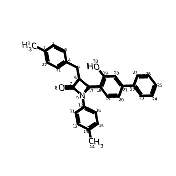 Cc1ccc(CC2C(=O)N(c3ccc(C)cc3)C2c2ccc(-c3ccccc3)cc2O)cc1